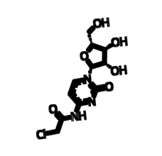 O=C(CCl)Nc1ccn([C@@H]2O[C@H](CO)[C@@H](O)[C@@H]2O)c(=O)n1